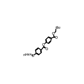 CCCCCCOc1ccc(C(=O)Oc2ccc(C(=O)OCC(C)CC)cc2)cc1